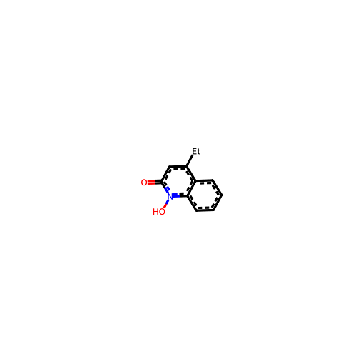 CCc1cc(=O)n(O)c2ccccc12